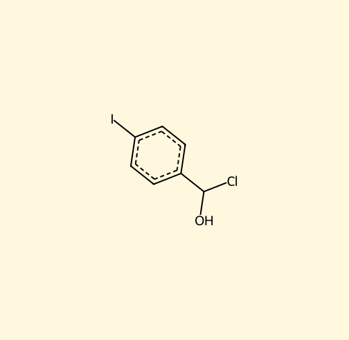 OC(Cl)c1ccc(I)cc1